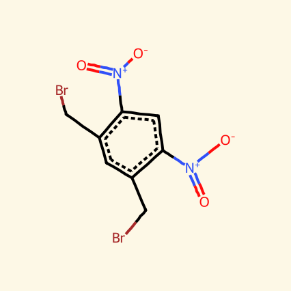 O=[N+]([O-])c1cc([N+](=O)[O-])c(CBr)cc1CBr